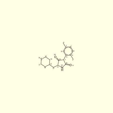 Cc1ccc(C)c(C2C(=O)NC(CC3CCSCC3)C2=O)c1